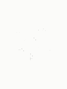 CC(=O)On1c(=O)[nH][nH]c1=O